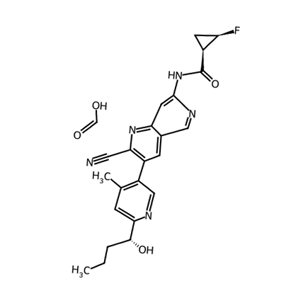 CCC[C@@H](O)c1cc(C)c(-c2cc3cnc(NC(=O)[C@H]4C[C@H]4F)cc3nc2C#N)cn1.O=CO